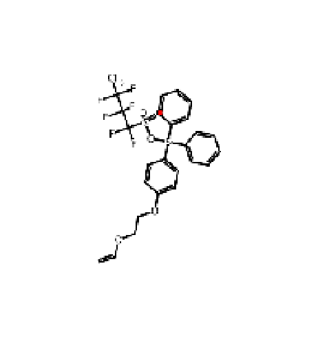 C=COCCOc1ccc(S(OS(=O)(=O)C(F)(F)C(F)(F)C(F)(F)C(F)(F)F)(c2ccccc2)c2ccccc2)cc1